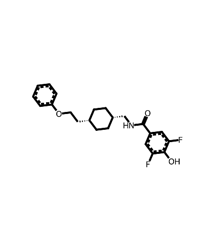 O=C(NC[C@H]1CC[C@@H](CCOc2ccccc2)CC1)c1cc(F)c(O)c(F)c1